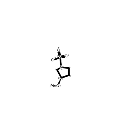 CO[C@@H]1CCN(S(=O)(=O)Cl)C1